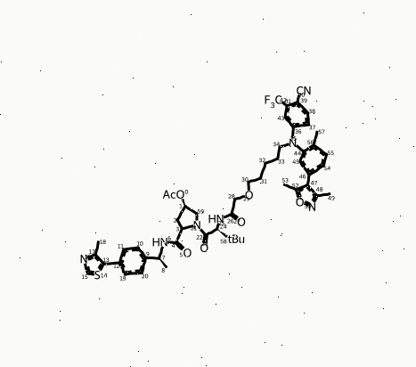 CC(=O)O[C@@H]1CC(C(=O)N[C@@H](C)c2ccc(-c3scnc3C)cc2)N(C(=O)[C@@H](NC(=O)COCCCCCN(c2ccc(C#N)c(C(F)(F)F)c2)c2cc(-c3c(C)noc3C)ccc2C)C(C)(C)C)C1